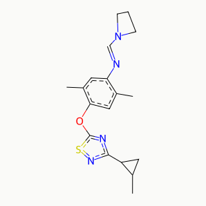 Cc1cc(Oc2nc(C3CC3C)ns2)c(C)cc1/N=C/N1CCC1